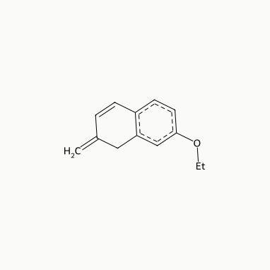 C=C1C=Cc2ccc(OCC)cc2C1